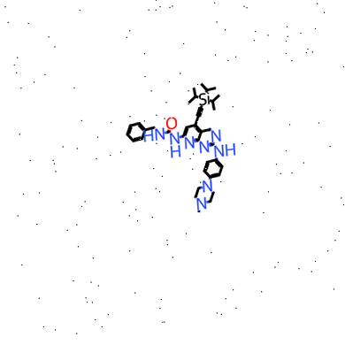 CC(C)[Si](C#Cc1cc(NC(=O)NCc2ccccc2)nc2nc(Nc3ccc(N4CCN(C)CC4)cc3)ncc12)(C(C)C)C(C)C